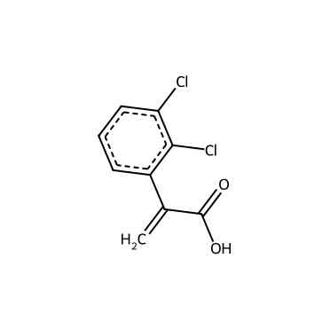 C=C(C(=O)O)c1cccc(Cl)c1Cl